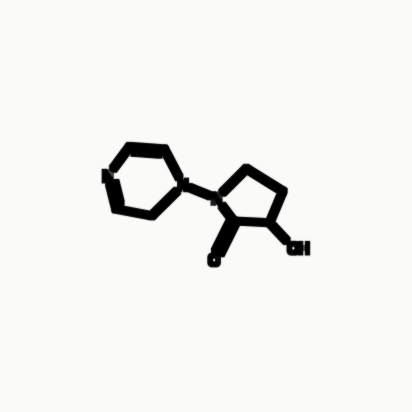 O=C1C(O)CCN1N1C=CN=CC1